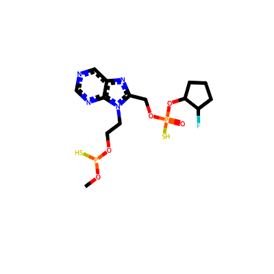 COP(S)OCCn1c(COP(=O)(S)OC2CCCC2F)nc2cncnc21